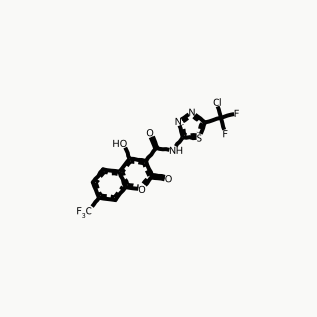 O=C(Nc1nnc(C(F)(F)Cl)s1)c1c(O)c2ccc(C(F)(F)F)cc2oc1=O